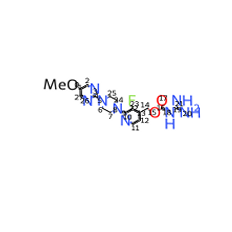 COc1cnc(N2CCN(c3nccc(COC(=O)NC(=N)N)c3F)CC2)nc1